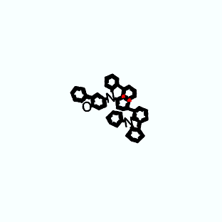 c1ccc(-c2ccccc2N(c2ccc(-c3cccc4c5ccccc5n(-c5ccccc5)c34)cc2)c2ccc3oc4ccccc4c3c2)cc1